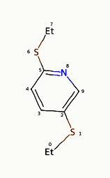 CCSc1ccc(SCC)nc1